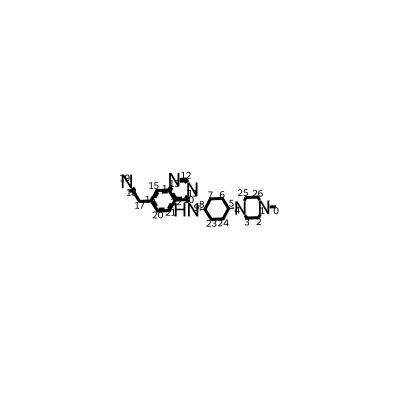 CN1CCN([C@H]2CC[C@@H](Nc3ncnc4cc(CC#N)ccc34)CC2)CC1